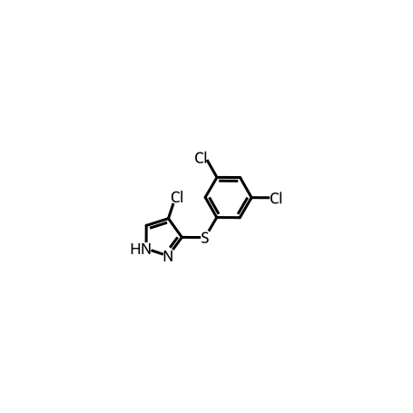 Clc1cc(Cl)cc(Sc2n[nH]cc2Cl)c1